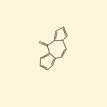 O=c1c2ccccc2ccn2cccc12